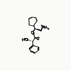 NC[C@@H](OC(=O)[C@@H](O)c1ccccc1)C1CCCCC1